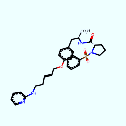 O=C(O)[C@H](Cc1ccc(OC/C=C/CCNc2ccccn2)cc1)NC(=O)[C@@H]1CCCN1S(=O)(=O)c1ccccc1